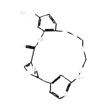 O=C(O)c1ccc2c(c1)NC(=O)c1csc(n1)-c1ccnc(c1)NCCCCCO2